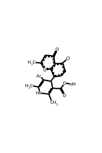 CCCOC(=O)C1=C(C)NC(C)=C(C(C)=O)C1c1ccc(Cl)c2c(=O)cc(C)oc12